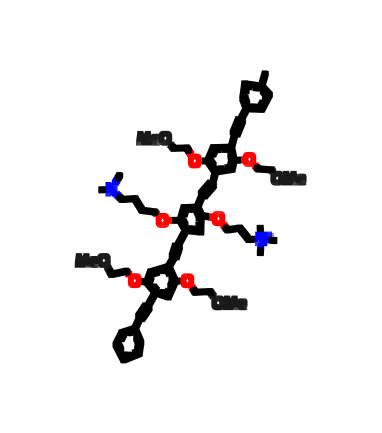 COCCOc1cc(C#Cc2cc(OCCC[N+](C)(C)C)c(C#Cc3cc(OCCOC)c(C#Cc4ccc(C)cc4)cc3OCCOC)cc2OCCCCN(C)C)c(OCCOC)cc1C#Cc1ccccc1